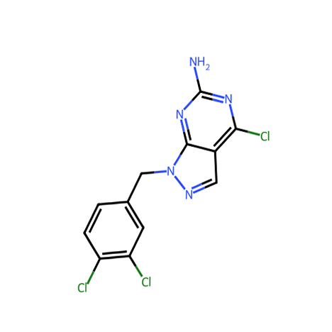 Nc1nc(Cl)c2cnn(Cc3ccc(Cl)c(Cl)c3)c2n1